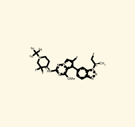 [2H]C([2H])([2H])N1CC[C@@H](Nc2nc(OC)c3c(-c4ccc5nnn([C@H](C)CF)c5c4)c(F)cn3n2)C(F)(F)C1